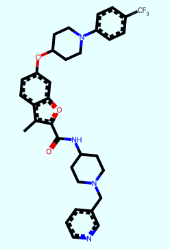 Cc1c(C(=O)NC2CCN(Cc3cccnc3)CC2)oc2cc(OC3CCN(c4ccc(C(F)(F)F)cc4)CC3)ccc12